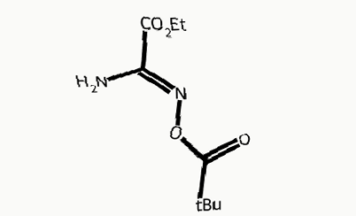 CCOC(=O)/C(N)=N/OC(=O)C(C)(C)C